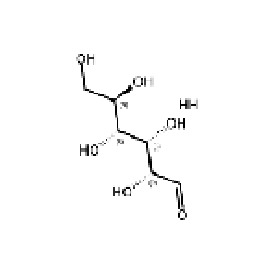 O=C[C@H](O)[C@@H](O)[C@H](O)[C@H](O)CO.[HH]